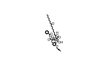 CC#CCOc1ccc(C[C@H](NC(=O)[C@@H](/C=C/CCCCCCC(=O)CCCCCCC)[C@@](O)(CC(=O)O)C(=O)O)C(=O)OCC(=O)c2ccccc2)cc1